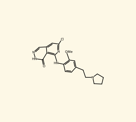 COc1cc(CCN2CCCC2)ccc1Nc1nc(Cl)cc2cn[nH]c(=O)c12